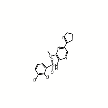 COc1nc(C2=NCCC2)cnc1NS(=O)(=O)c1cccc(Cl)c1Cl